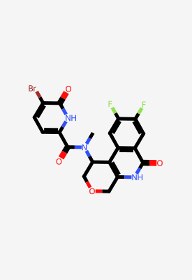 CN(C(=O)c1ccc(Br)c(=O)[nH]1)C1COCc2[nH]c(=O)c3cc(F)c(F)cc3c21